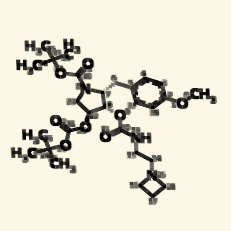 COc1ccc(C[C@@H]2[C@H](OC(=O)NCCN3CCC3)[C@@H](OC(=O)OC(C)(C)C)CN2C(=O)OC(C)(C)C)cc1